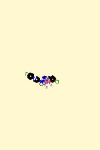 CN(C1CCN(c2ccc(F)cc2)CC1)C(N)/N=C\N(O)Cc1ccc(Cl)cc1